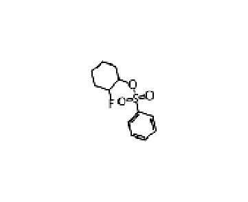 O=S(=O)(OC1CCCCC1F)c1ccccc1